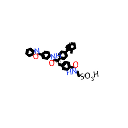 CC12CCC(C=C1c1ccc([C@@H](Cc3ccc(C(=O)NCCS(=O)(=O)O)cc3)C(=O)Nc3ccc(-c4nc5ccccc5o4)cc3)cc1)C2(C)C